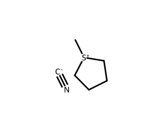 C[S+]1CCCC1.[C-]#N